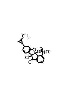 CC1CC1c1ccc2c(c1)OC1(O)c3c(cccc3[N+](=O)[O-])C(=O)C21Cl